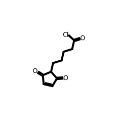 O=C(Cl)CCCCC1C(=O)C=CC1=O